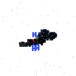 CC(C)(C)c1cc(NC(=O)Nc2ccc(-c3nn(-c4ccncc4)c4ncnc(N)c34)cc2F)on1